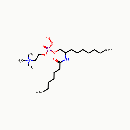 CCCCCCCCCCCCCCCCC(COP(=O)(OO)OCC[N+](C)(C)C)NC(=O)CCCCCCCCCCCCCCC